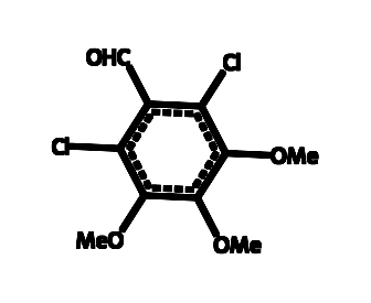 COc1c(Cl)c(C=O)c(Cl)c(OC)c1OC